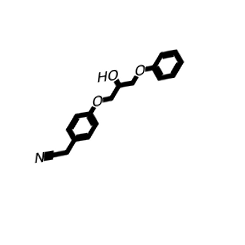 N#CCc1ccc(OCC(O)COc2ccccc2)cc1